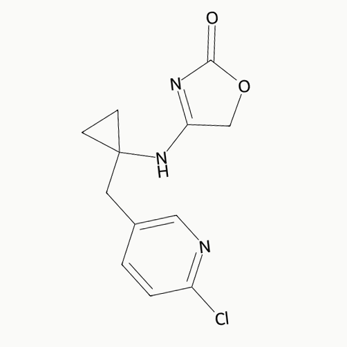 O=C1N=C(NC2(Cc3ccc(Cl)nc3)CC2)CO1